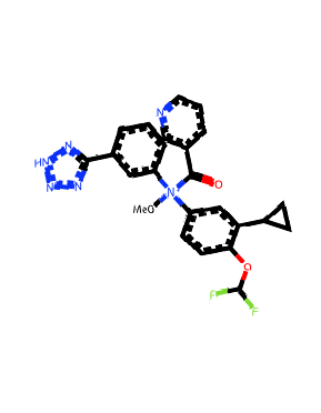 CO[N+](C(=O)c1cccnc1)(c1cccc(-c2nn[nH]n2)c1)c1ccc(OC(F)F)c(C2CC2)c1